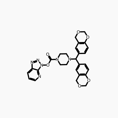 O=C(On1nnc2cccnc21)N1CCN(C(c2ccc3c(c2)COCO3)c2ccc3c(c2)COCO3)CC1